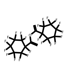 C=C(OC(=C)C1(F)C(F)(F)C(F)(F)C(F)(F)C(F)(F)C1(F)F)C1(F)C(F)(F)C(F)(F)C(F)(F)C(F)(F)C1(F)F